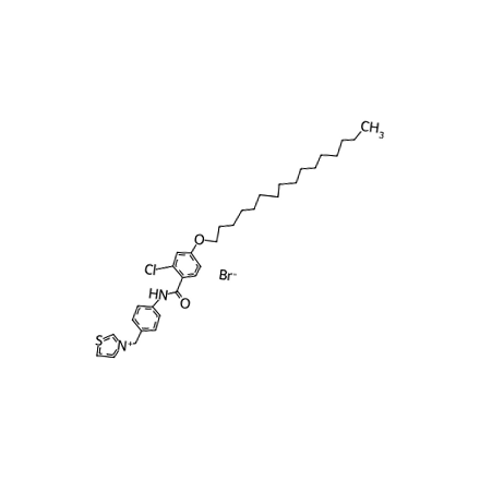 CCCCCCCCCCCCCCCCOc1ccc(C(=O)Nc2ccc(C[n+]3ccsc3)cc2)c(Cl)c1.[Br-]